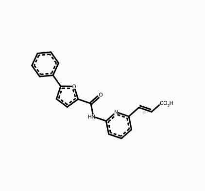 O=C(O)/C=C/c1cccc(NC(=O)c2ccc(-c3ccccc3)o2)n1